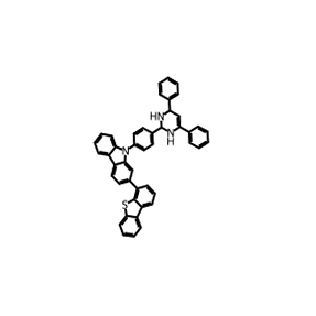 C1=C(c2ccccc2)NC(c2ccc(-n3c4ccccc4c4ccc(-c5cccc6c5sc5ccccc56)cc43)cc2)NC1c1ccccc1